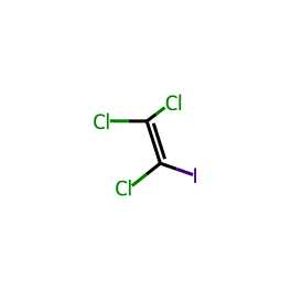 ClC(Cl)=C(Cl)I